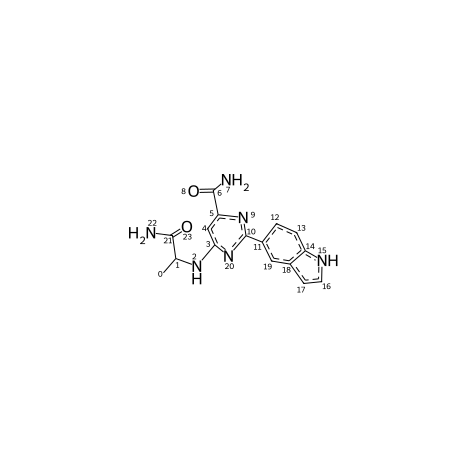 CC(Nc1cc(C(N)=O)nc(-c2ccc3[nH]ccc3c2)n1)C(N)=O